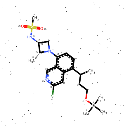 CC(CCO[Si](C)(C)C(C)(C)C)c1ccc(N2C[C@H](NS(C)(=O)=O)[C@H]2C)c2cnc(Cl)cc12